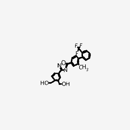 Cc1cc(-c2nc(-c3ccc(CO)c(CO)c3)no2)ccc1-c1ccccc1C(F)(F)F